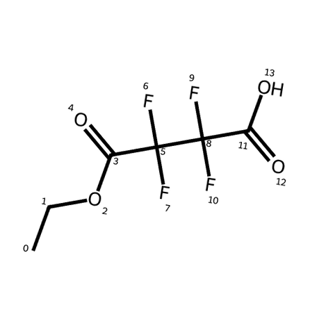 CCOC(=O)C(F)(F)C(F)(F)C(=O)O